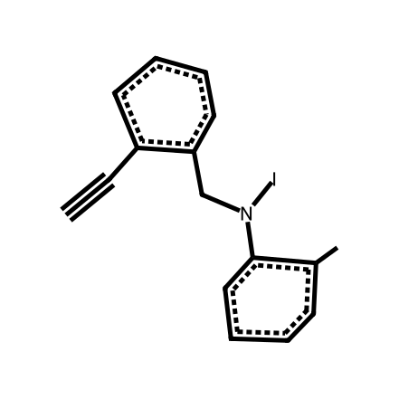 C#Cc1ccccc1CN(I)c1ccccc1C